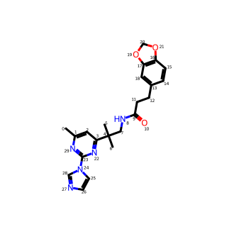 Cc1cc(C(C)(C)CNC(=O)CCc2ccc3c(c2)OCO3)nc(-n2ccnc2)n1